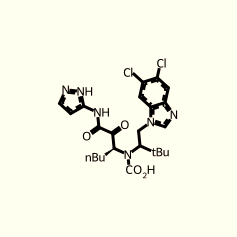 CCCC[C@@H](C(=O)C(=O)Nc1ccn[nH]1)N(C(=O)O)C(Cn1cnc2cc(Cl)c(Cl)cc21)C(C)(C)C